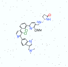 COc1nc(-c2cccc(-c3ccnc(-c4ccc5c(CN(C)C)cn(C)c5c4)c3Cl)c2Cl)ccc1CNC[C@@H]1CCC(=O)N1